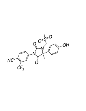 CC1(c2ccc(O)cc2)C(=O)N(c2ccc(C#N)c(C(F)(F)F)c2)C(=O)N1CS(C)(=O)=O